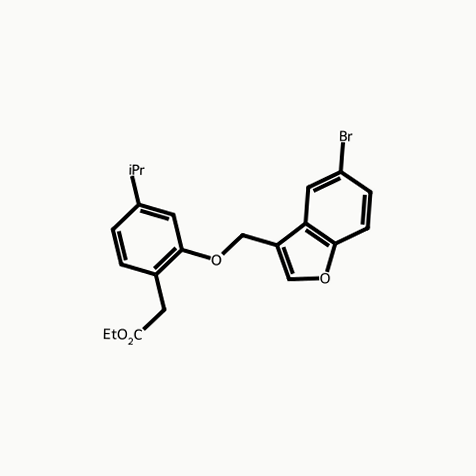 CCOC(=O)Cc1ccc(C(C)C)cc1OCc1coc2ccc(Br)cc12